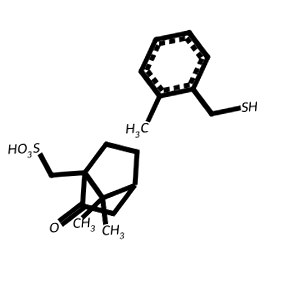 CC1(C)C2CCC1(CS(=O)(=O)O)C(=O)C2.Cc1ccccc1CS